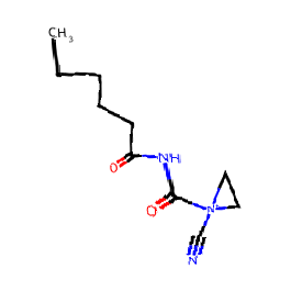 CCCCCC(=O)NC(=O)[N+]1(C#N)CC1